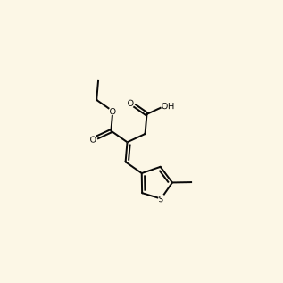 CCOC(=O)/C(=C/c1csc(C)c1)CC(=O)O